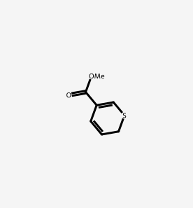 COC(=O)C1=CSCC=C1